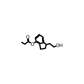 CCC(=O)Oc1cccc2c1CCC2CCO